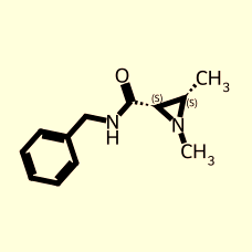 C[C@H]1[C@@H](C(=O)NCc2ccccc2)N1C